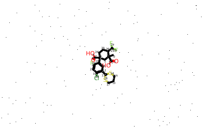 CC1(C(=O)O)CC(C(=O)O)(c2cc(C3SCCCS3)c(Cl)cc2F)CCC1C(F)F